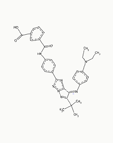 CCN(CC)c1ccc(/N=C2/C(C(C)(C)C)=Nn3nc(-c4ccc(NC(=O)c5cccc(C(=O)O)c5)cc4)nc32)cc1